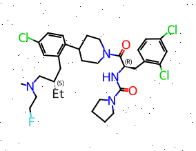 CC[C@@H](Cc1cc(Cl)ccc1C1CCN(C(=O)[C@@H](Cc2ccc(Cl)cc2Cl)NC(=O)N2CCCC2)CC1)CN(C)CCF